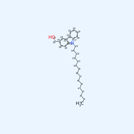 CCCCCCCCCCCCCCCCn1c2ccccc2c2cc(CO)ccc21